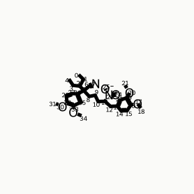 CCC(CC)C(C#N)(CCCC(Cc1ccc(OC)c(OC)c1)[N+](=O)[O-])c1ccc(OC)c(OC)c1